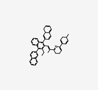 CCc1c(/C=C(\C)C2=NC(C3=CCC(C)C=C3)=CCC2)c(C2=CC3CC=CC=C3C=C2)c2ccccc2c1-c1ccc2ccccc2c1